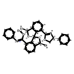 CCO/C(=N\c1ccccc1)c1cccc2c1[C@]1(O[C@@H](CC)c3cccc(C4=N[C@H](c5ccccc5)CO4)c31)O[C@H]2CC